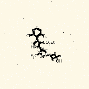 CCOC(=O)c1c(-c2c(F)cccc2Cl)c[nH]c1-c1cn(C2CC(C)(O)C2)nc1C(F)(F)F